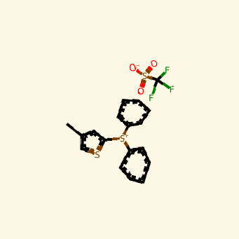 Cc1csc([S+](c2ccccc2)c2ccccc2)c1.O=S(=O)([O-])C(F)(F)F